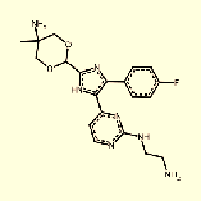 CC1(N)COC(c2nc(-c3ccc(F)cc3)c(-c3ccnc(NCCN)n3)[nH]2)OC1